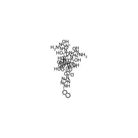 COC1[C@@H](OP(=O)(O)O[C@H]2O[C@@H](n3cnc4c(=O)[nH]c(N)nc43)C(O)[C@H]2O)[C@@H](COP(=O)(O)OP(=O)(O)OP(=O)(O)OC[C@H]2O[C@@H](n3c[n+](C)c4c(O)nc(N)nc43)C(O)C2O)O[C@H]1n1cnc2c(NCc3ccc4ccccc4c3)ncnc21